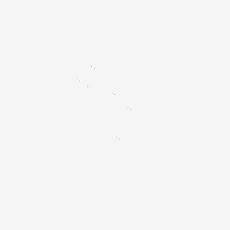 Cc1ccc(-c2c[nH]c(C(=O)Nc3cccc(-c4nncn4C(C)C)n3)c2)cc1